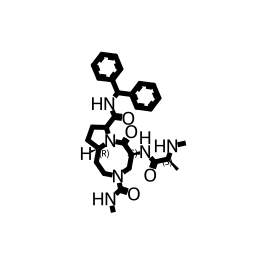 CNC(=O)N1CC[C@H]2CCC(C(=O)NC(c3ccccc3)c3ccccc3)N2C(=O)[C@@H](NC(=O)[C@H](C)NC)C1